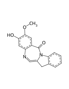 COc1cc2c(cc1O)N=C=C1Cc3ccccc3N1C2=O